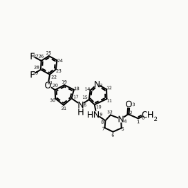 C=CC(=O)N1CCCC(Nc2ccncc2Nc2ccc(Oc3cccc(F)c3F)cc2)C1